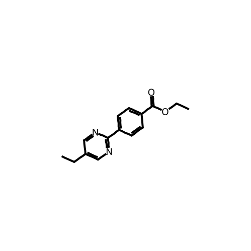 CCOC(=O)c1ccc(-c2ncc(CC)cn2)cc1